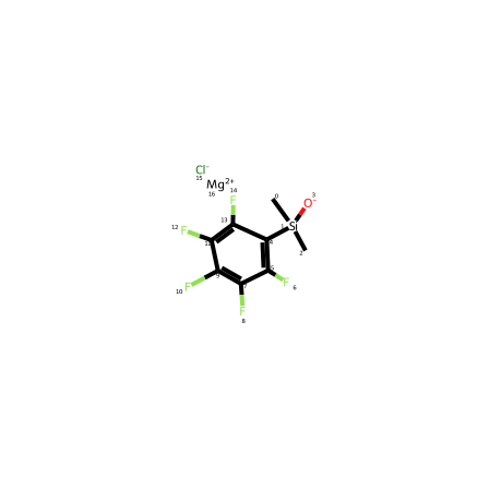 C[Si](C)([O-])c1c(F)c(F)c(F)c(F)c1F.[Cl-].[Mg+2]